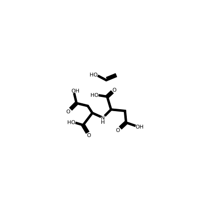 C=CO.O=C(O)CC(NC(CC(=O)O)C(=O)O)C(=O)O